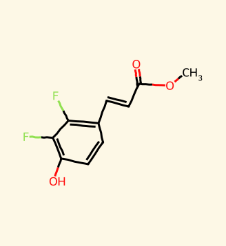 COC(=O)/C=C/c1ccc(O)c(F)c1F